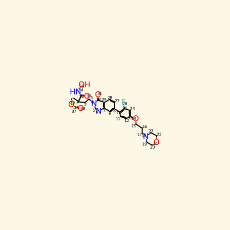 CC(CCn1cnc2cc(-c3ccc(OCCCN4CCOCC4)cc3F)ccc2c1=O)(C(=O)NO)S(C)(=O)=O